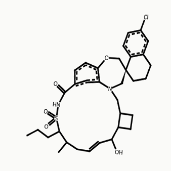 CCCC1C(C)C/C=C/C(O)C2CCC2CN2C[C@@]3(CCCc4cc(Cl)ccc43)COc3ccc(cc32)C(=O)NS1(=O)=O